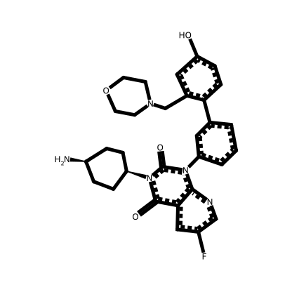 N[C@H]1CC[C@@H](n2c(=O)c3cc(F)cnc3n(-c3cccc(-c4ccc(O)cc4CN4CCOCC4)c3)c2=O)CC1